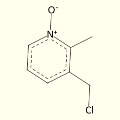 Cc1c(CCl)ccc[n+]1[O-]